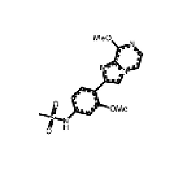 COc1cc(NS(C)(=O)=O)ccc1-c1cn2ccnc(OC)c2n1